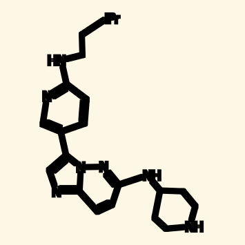 CC(C)CCNc1ccc(-c2cnc3ccc(NC4CCNCC4)nn23)cn1